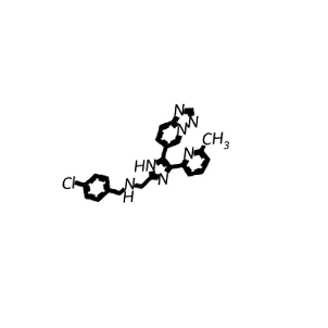 Cc1cccc(-c2nc(CNCc3ccc(Cl)cc3)[nH]c2-c2ccc3ncnn3c2)n1